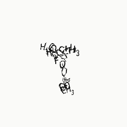 COC(=O)C[C@H](c1ccc(OCc2ccc(C(C)(C)C)c(-c3cc(OC)ccc3F)c2)cc1)C1CC1